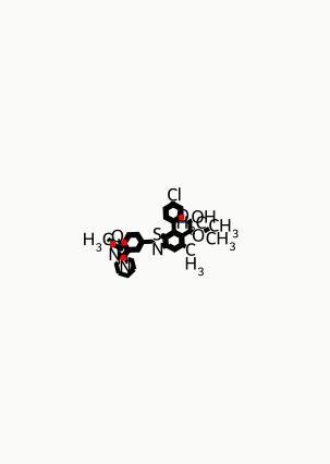 Cc1cc2nc(-c3ccc4c(c3)c(N3C5CC3CN(C3COC3)C5)nn4C)sc2c(-c2ccc(Cl)cc2)c1C(OC(C)(C)C)C(=O)O